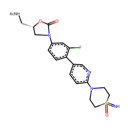 CC(=O)NC[C@H]1CN(c2ccc(-c3ccc(N4CCS(=N)(=O)CC4)nc3)c(F)c2)C(=O)O1